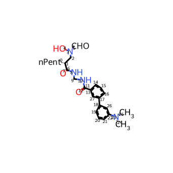 CCCCC[C@H](CN(O)C=O)C(=O)NCNC(=O)c1cccc(-c2cccc(N(C)C)c2)c1